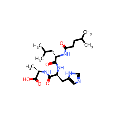 CC(C)CCC(=O)N[C@@H](CC(C)C)C(=O)N[C@@H](Cc1cnc[nH]1)C(=O)N[C@@H](C)C(=O)O